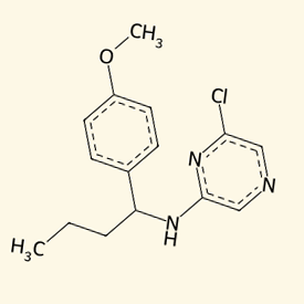 CCCC(Nc1cncc(Cl)n1)c1ccc(OC)cc1